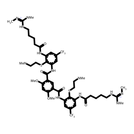 C/N=C(/NC)NCCCCC(=O)Nc1cc(C(F)(F)F)cc(NC(=O)c2cc(C(=O)Nc3cc(C(F)(F)F)cc(NC(=O)CCCCN/C(=N\C)NC)c3SCCNC)c(OC)cc2OC)c1SCCNC